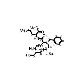 CCC[C@@H](C(=O)N[C@@H](CCSC)C(=O)OC)N(Cc1ccccc1)C[C@@H](NC[C@@H](N)CS)[C@@H](C)CC